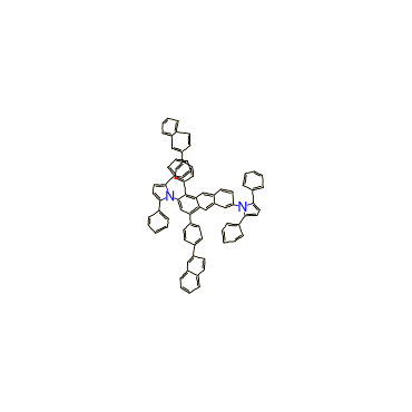 c1ccc(-c2ccc(-c3ccccc3)n2-c2ccc3cc4c(-c5ccc(-c6ccc7ccccc7c6)cc5)c(-n5c(-c6ccccc6)ccc5-c5ccccc5)cc(-c5ccc(-c6ccc7ccccc7c6)cc5)c4cc3c2)cc1